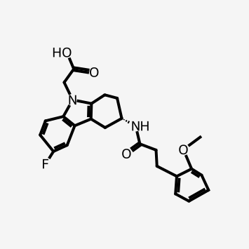 COc1ccccc1CCC(=O)N[C@H]1CCc2c(c3cc(F)ccc3n2CC(=O)O)C1